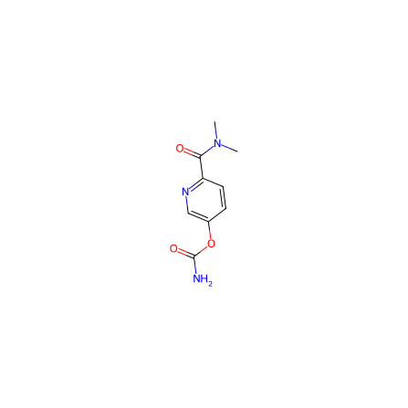 CN(C)C(=O)c1ccc(OC(N)=O)cn1